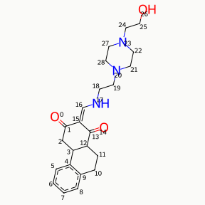 O=C1CC2c3ccccc3CCC2C(=O)C1=CNCCN1CCN(CCO)CC1